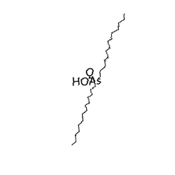 CCCCCCCCCCCCCC[As](CCCCCCCCCCCCCC)C(=O)O